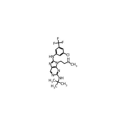 CNCCn1c(Nc2cc(Cl)cc(C(F)(F)F)c2)nc2cnc(NC(C)(C)C)nc21